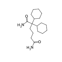 NC(=O)CCCC(C(N)=O)(C1CCCCC1)C1CCCCC1